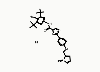 CC(C)(C)c1cc(NC(=O)c2csc(-c3ccc(NCC4=CC=CS4=N)cc3)n2)cc(C(C)(C)C)c1O.I